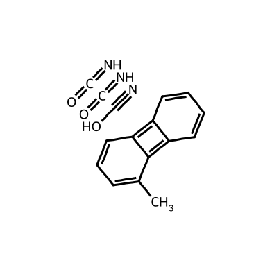 Cc1cccc2c1=c1ccccc1=2.N#CO.N=C=O.N=C=O